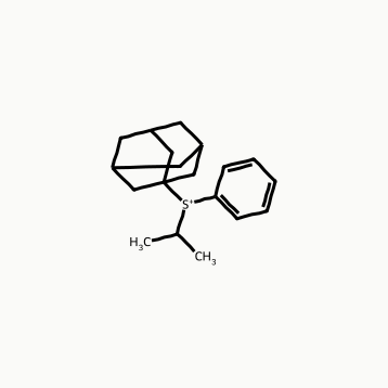 CC(C)[S+](c1ccccc1)C12CC3CC(CC(C3)C1)C2